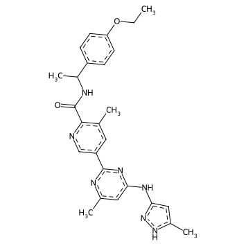 CCOc1ccc(C(C)NC(=O)c2ncc(-c3nc(C)cc(Nc4cc(C)[nH]n4)n3)cc2C)cc1